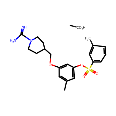 CC(=O)O.Cc1cc(OCC2CCN(C(=N)N)CC2)cc(OS(=O)(=O)c2cccc(C(F)(F)F)c2)c1